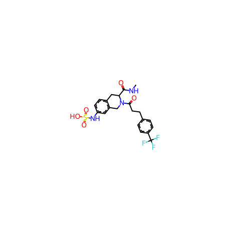 CNC(=O)C1Cc2ccc(NS(=O)(=O)O)cc2CN1C(=O)CCc1ccc(C(F)(F)F)cc1